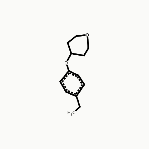 CCc1ccc(OC2CCOCC2)cc1